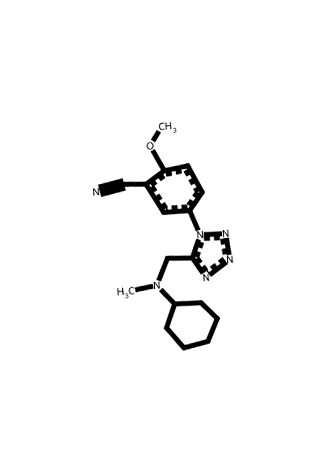 COc1ccc(-n2nnnc2CN(C)C2CCCCC2)cc1C#N